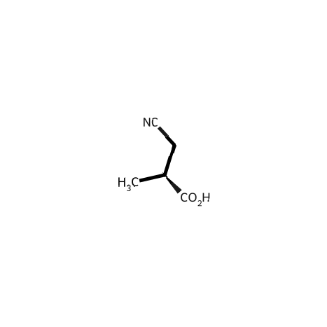 C[C@@H](CC#N)C(=O)O